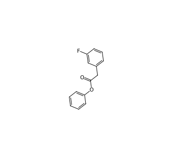 O=C(Cc1cccc(F)c1)Oc1ccccc1